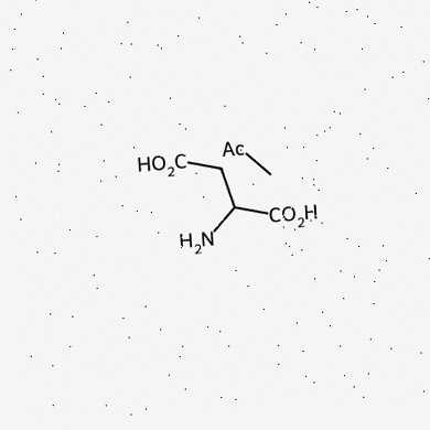 CC(C)=O.NC(CC(=O)O)C(=O)O